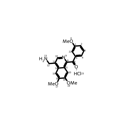 COc1cccc(C(=O)c2ncc(CN)c3cc(OC)c(OC)cc23)c1.Cl